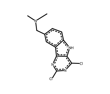 CN(C)Cc1ccc2[nH]c3c(Cl)nc(Cl)nc3c2c1